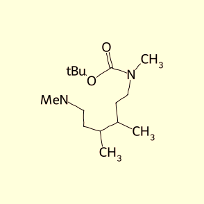 CNCCC(C)C(C)CCN(C)C(=O)OC(C)(C)C